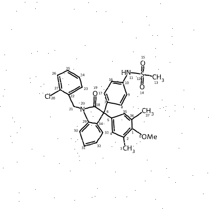 COc1c(C)cc(C2(c3ccc(NS(C)(=O)=O)cc3)C(=O)N(Cc3ccccc3Cl)c3ccccc32)cc1C